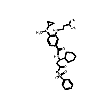 CC(C)CCNc1cc(C(=O)NC(CC(=O)NS(=O)(=O)c2ccccc2)C2CCCCC2)ccc1N(C)C1CC1